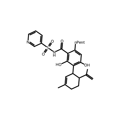 C=C(C)C1CCC(C)=CC1c1c(O)cc(CCCCC)c(C(=O)NS(=O)(=O)c2cccnc2)c1O